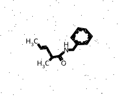 C/C=C/C(C)C(=O)NCc1ccccc1